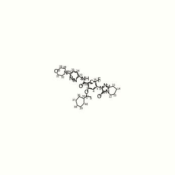 C[C@H](Oc1cc(-n2nc3n(c2=O)CCCC3)c(F)cc1C(=O)Nc1ccc(N2CCOCC2)nn1)C1CCCCC1